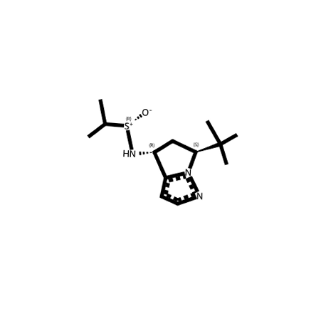 CC(C)[S@+]([O-])N[C@@H]1C[C@@H](C(C)(C)C)n2nccc21